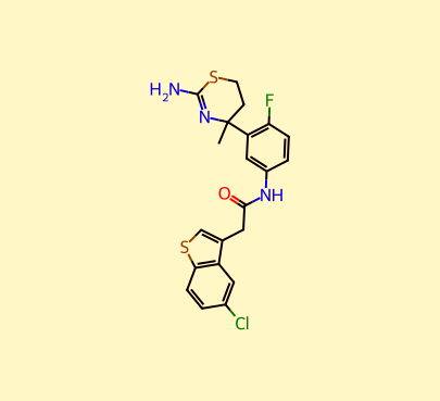 CC1(c2cc(NC(=O)Cc3csc4ccc(Cl)cc34)ccc2F)CCSC(N)=N1